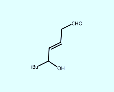 CCC(C)C(O)/C=C/CC=O